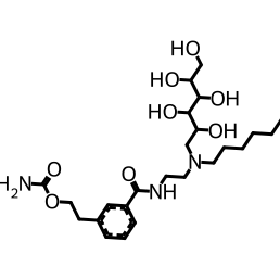 CCCCCCN(CCNC(=O)c1cccc(CCOC(N)=O)c1)CC(O)C(O)C(O)C(O)CO